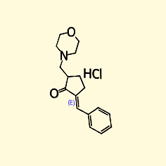 Cl.O=C1/C(=C/c2ccccc2)CCC1CN1CCOCC1